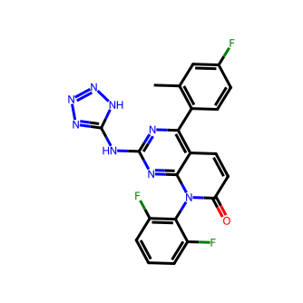 Cc1cc(F)ccc1-c1nc(Nc2nnn[nH]2)nc2c1ccc(=O)n2-c1c(F)cccc1F